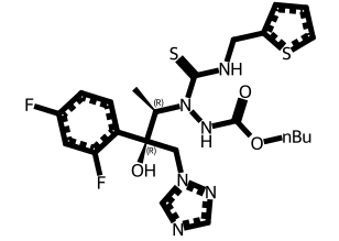 CCCCOC(=O)NN(C(=S)NCc1cccs1)[C@H](C)[C@](O)(Cn1cncn1)c1ccc(F)cc1F